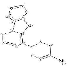 NC1=CCC(C2=C3Oc4ccccc4C3CC=C2)CC1